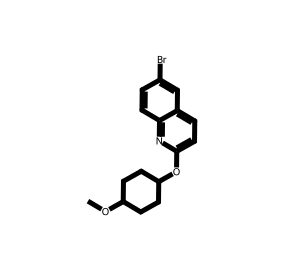 COC1CCC(Oc2ccc3cc(Br)ccc3n2)CC1